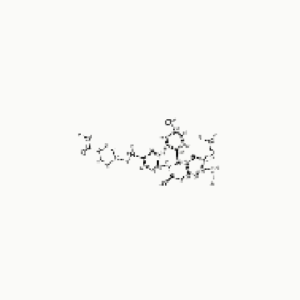 COC(=O)C1CCC(CN(C)c2ccc(N3C(=O)Cc4cc(OC)c(OC(C)C)cc4[C@@H]3c3ccc(Cl)cc3)cc2)CC1